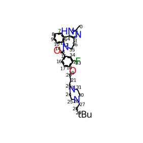 Cc1nc2c([nH]1)-c1ccccc1N(C(=O)c1ccc(OCCCN3CCN(CCC(C)(C)C)CC3)c(F)c1)CC2